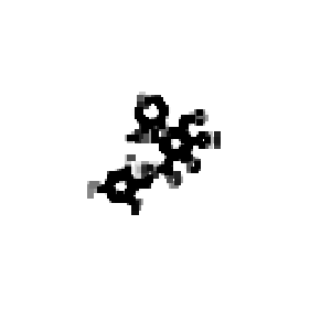 CNC1COCCC1n1cc(C(=O)NCc2c(F)cc(F)cc2F)c(=O)c(O)c1C=O